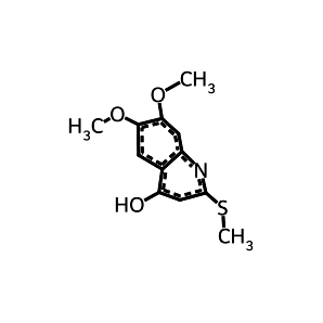 COc1cc2nc(SC)cc(O)c2cc1OC